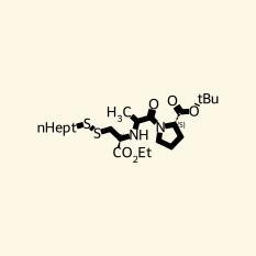 CCCCCCCSSC[C@H](NC(C)C(=O)N1CCC[C@H]1C(=O)OC(C)(C)C)C(=O)OCC